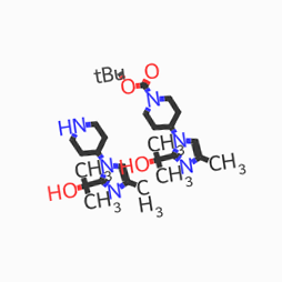 Cc1cn(C2CCN(C(=O)OC(C)(C)C)CC2)c(C(C)(C)O)n1.Cc1cn(C2CCNCC2)c(C(C)(C)O)n1